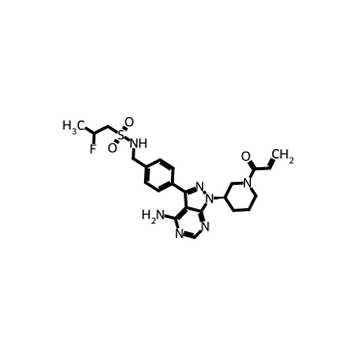 C=CC(=O)N1CCC[C@@H](n2nc(-c3ccc(CNS(=O)(=O)CC(C)F)cc3)c3c(N)ncnc32)C1